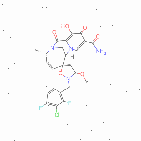 COC1C[C@]2(C=C[C@H](C)N3C[C@H]2n2cc(C(N)=O)c(=O)c(O)c2C3=O)ON1Cc1ccc(F)c(Cl)c1F